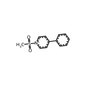 CS(=O)(=O)[n+]1ccc(-c2ccccc2)cc1